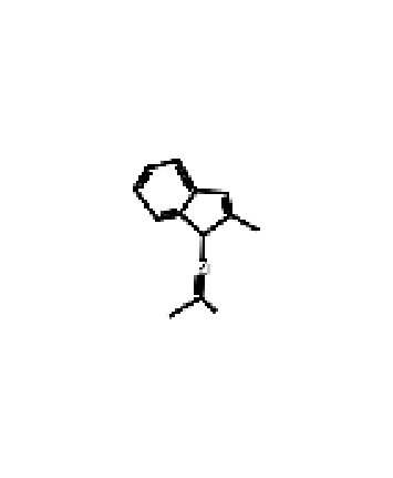 CC1=Cc2ccccc2[CH]1[Zr]=[C](C)C